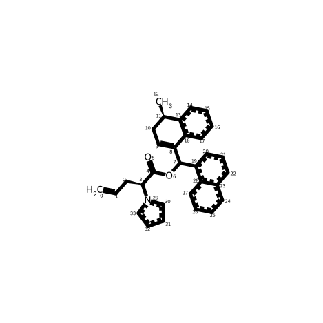 C=CC[C@@H](C(=O)OC(C1=CC[C@@H](C)c2ccccc21)c1cccc2ccccc12)n1cccc1